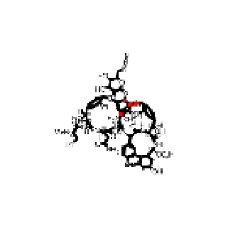 CN[C@@H](CC(C)C)C(=O)N[C@H]1C(=O)N[C@@H](CC(N)=O)C(=O)NC2C(=O)NC3C(=O)N[C@H](C(=O)N[C@@H](C(=O)O)c4cc(O)cc(O)c4-c4cc3ccc4O)[C@H](O)c3ccc(c(Cl)c3)Oc3cc2cc(c3OC2OC(CN=[N+]=[N-])C(O)C(O)C2OC2CC(C)(N)C(O)C(C)O2)Oc2ccc(cc2Cl)[C@H]1O